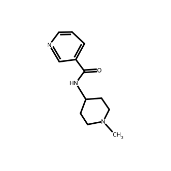 CN1CCC(NC(=O)c2cccnc2)CC1